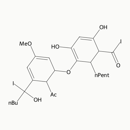 CCCCCC1C(OC2C=C(OC)C=C(C(O)(I)CCCC)C2C(C)=O)=C(O)C=C(O)C1C(=O)I